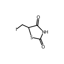 O=C1NC(=O)C(CI)S1